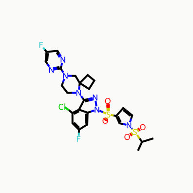 CC(C)S(=O)(=O)n1ccc(S(=O)(=O)n2nc(N3CCN(c4ncc(F)cn4)CC34CCC4)c3c(Cl)cc(F)cc32)c1